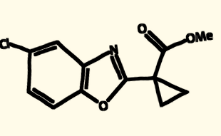 COC(=O)C1(c2nc3cc(Cl)ccc3o2)CC1